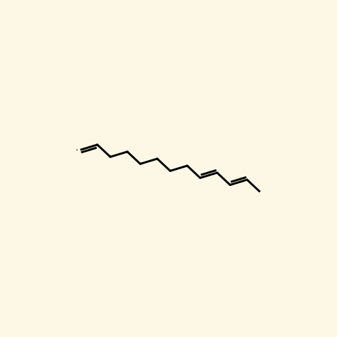 [CH]=CCCCCCCC=CC=CC